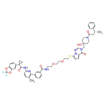 Cc1ccc(NC(=O)C2(c3ccc4c(c3)OC(F)(F)O4)CC2)nc1-c1cccc(C(=O)NCCOCCOCCSc2ccc3c(=O)n(CC4(O)CCN(C(=O)C[C@@H](C)c5ccccc5)CC4)cnn23)c1